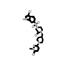 Cn1nc(N2CCC(CN3CCN(S(=O)(=O)c4ccc5c(Cl)c[nH]c5c4)CC3=O)CC2)ccc1=O